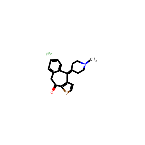 Br.CN1CCC(=C2c3ccccc3CC(=O)c3sccc32)CC1